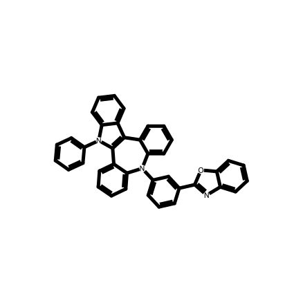 c1ccc(-n2c3c(c4ccccc42)-c2ccccc2N(c2cccc(-c4nc5ccccc5o4)c2)c2ccccc2-3)cc1